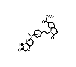 COC(=O)c1cnc2ccc(=O)n(CCC34CCC(N(C)c5ccc6c(n5)NC(=O)CO6)(CC3)CO4)c2c1